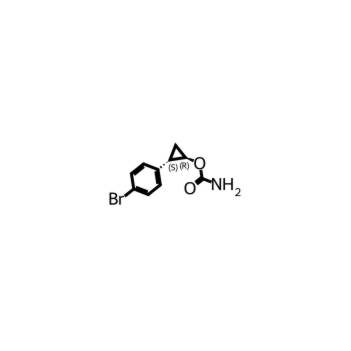 NC(=O)O[C@@H]1C[C@H]1c1ccc(Br)cc1